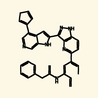 C=C/C(=C\C(=C/C)c1ccc2[nH]nc(-c3cc4c(C5=CCC=C5)cncc4[nH]3)c2n1)NC(=C)Cc1ccccc1